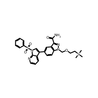 C[Si](C)(C)CCOCn1nc(C(N)=O)c2cc(-c3cn(S(=O)(=O)c4ccccc4)c4ncccc34)ccc21